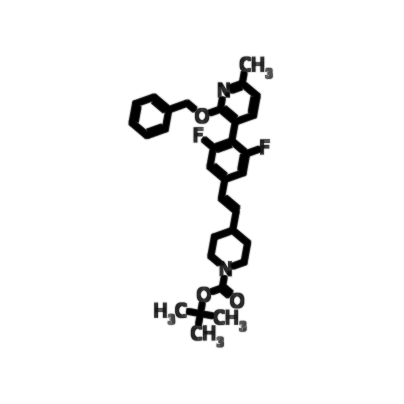 Cc1ccc(-c2c(F)cc(/C=C/C3CCN(C(=O)OC(C)(C)C)CC3)cc2F)c(OCc2ccccc2)n1